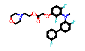 CN(c1cc(-c2cccc(F)c2)ccc1F)c1c(F)ccc(OCC(=O)OCCN2CCOCC2)c1F